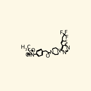 CCS(=O)(=O)Nc1ccc(CC(=O)N2CCN(c3ncnc4sc(CC(F)(F)F)cc34)CC2)cc1